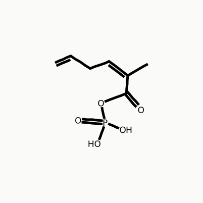 C=CCC=C(C)C(=O)OP(=O)(O)O